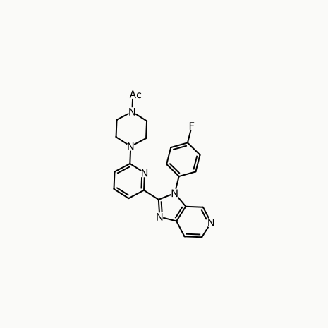 CC(=O)N1CCN(c2cccc(-c3nc4ccncc4n3-c3ccc(F)cc3)n2)CC1